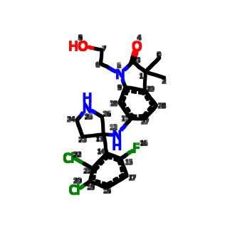 CC1(C)C(=O)N(CCO)c2cc(NC3(c4c(F)ccc(Cl)c4Cl)CCNC3)ccc21